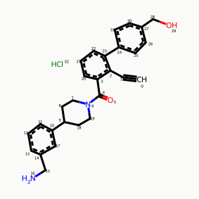 C#Cc1c(C(=O)N2CCC(c3cccc(CN)c3)CC2)cccc1-c1ccc(CO)cc1.Cl